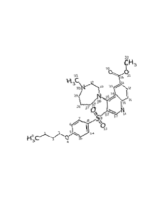 CCCCOc1ccc(S(=O)(=O)c2cnc3ccc(C(=O)OC)cc3c2N2CCCN(C)CC2)cc1